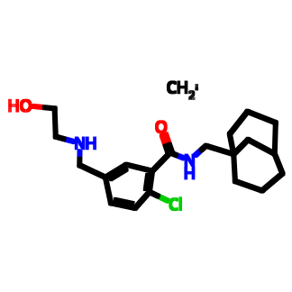 O=C(NCC12CCCC(CCC1)C2)c1cc(CNCCO)ccc1Cl.[CH2]